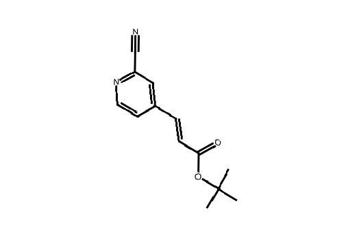 CC(C)(C)OC(=O)/C=C/c1ccnc(C#N)c1